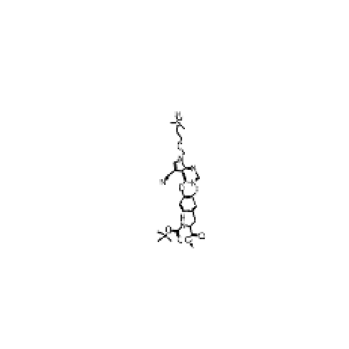 COC(=O)C(Cc1ccc(Oc2ncnc3c2c(C#N)cn3COCC[SH](C)(C)(C)C)c(F)c1)NC(=O)OC(C)(C)C